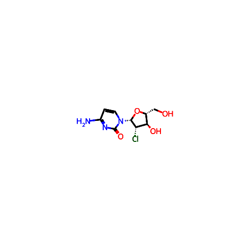 Nc1ccn([C@@H]2O[C@H](CO)[C@@H](O)[C@@H]2Cl)c(=O)n1